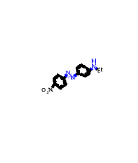 CCNc1ccc(/N=N/c2ccc([N+](=O)[O-])cc2)cc1